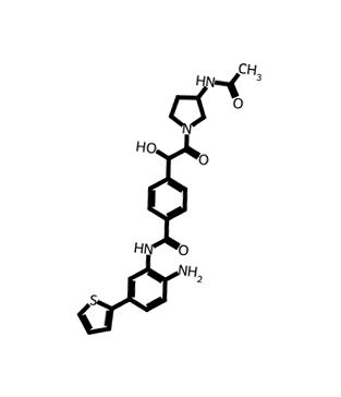 CC(=O)NC1CCN(C(=O)C(O)c2ccc(C(=O)Nc3cc(-c4cccs4)ccc3N)cc2)C1